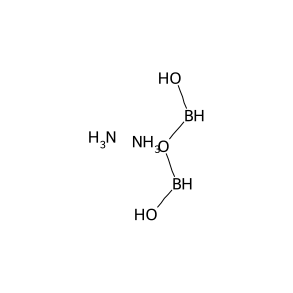 N.N.OBOBO